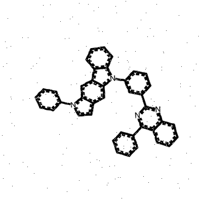 c1ccc(-c2nc(-c3cccc(-n4c5ccccc5c5cc6c(ccn6-c6ccccc6)cc54)c3)nc3ccccc23)cc1